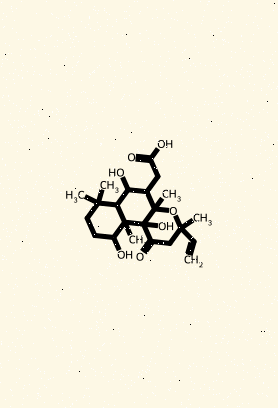 C=CC1(C)CC(=O)C2(O)C(C)(O1)C(CC(=O)O)C(O)C1C(C)(C)CCC(O)C12C